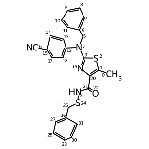 Cc1sc(N(Cc2ccccc2)c2ccc(C#N)cc2)nc1C(=O)NSCc1ccccc1